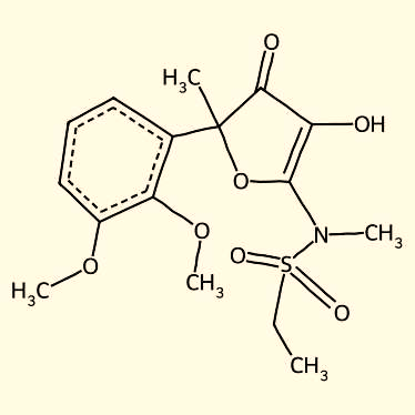 CCS(=O)(=O)N(C)C1=C(O)C(=O)C(C)(c2cccc(OC)c2OC)O1